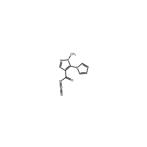 Cn1ncc(C(=O)N=[N+]=[N-])c1-n1cccc1